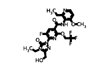 CCc1nccc(OC)c1NC(=O)c1cc(F)c(-n2nc(CO)n(CC)c2=O)nc1OCC(F)(F)F